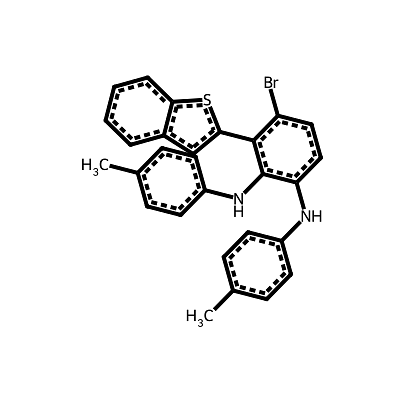 Cc1ccc(Nc2ccc(Br)c(-c3cc4ccccc4s3)c2Nc2ccc(C)cc2)cc1